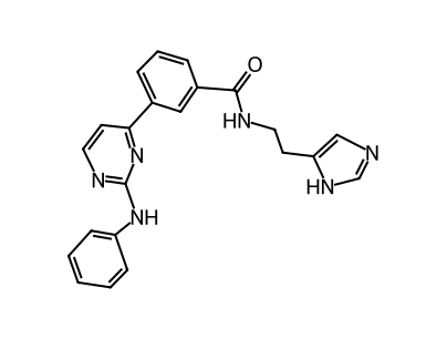 O=C(NCCc1cnc[nH]1)c1cccc(-c2ccnc(Nc3ccccc3)n2)c1